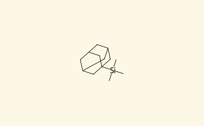 C[Si](C)(C)C12CC3CC(CC(C3)C1)C2